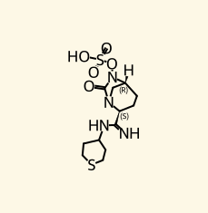 N=C(NC1CCSCC1)[C@@H]1CC[C@@H]2CN1C(=O)N2OS(=O)(=O)O